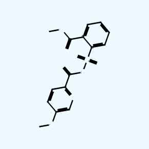 COC(=O)c1ccccc1S(=O)(=O)NC(=O)c1ccc(OC)cn1